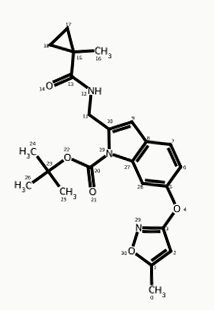 Cc1cc(Oc2ccc3cc(CNC(=O)C4(C)CC4)n(C(=O)OC(C)(C)C)c3c2)no1